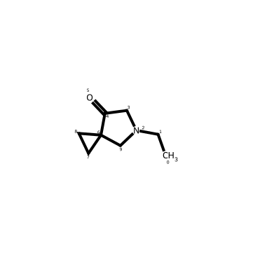 CCN1CC(=O)C2(CC2)C1